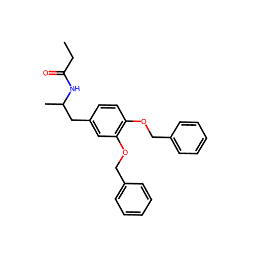 CCC(=O)NC(C)Cc1ccc(OCc2ccccc2)c(OCc2ccccc2)c1